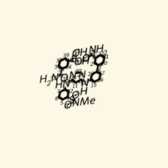 CNS(=O)(=O)c1cccc(Nc2cc(Nc3cccc(-c4cccc(C(N)=O)c4)c3)ncn2)c1.NC(=O)c1cccc(B(O)O)c1